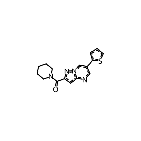 O=C(c1cc2ncc(-c3cccs3)cn2n1)N1CCCCC1